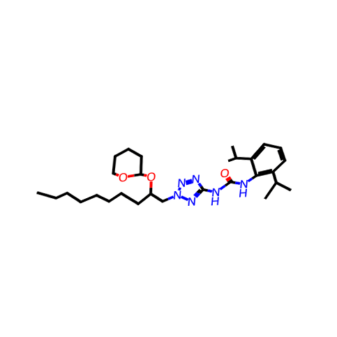 CCCCCCCCC(Cn1nnc(NC(=O)Nc2c(C(C)C)cccc2C(C)C)n1)OC1CCCCO1